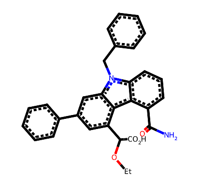 CCOC(C(=O)O)c1cc(-c2ccccc2)cc2c1c1c(C(N)=O)cccc1n2Cc1ccccc1